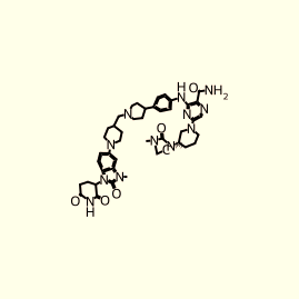 CN1CCN([C@@H]2CCCN(c3cnc(C(N)=O)c(Nc4ccc(C5CCN(CC6CCN(c7ccc8c(c7)n(C)c(=O)n8C7CCC(=O)NC7=O)CC6)CC5)cc4)n3)C2)C1=O